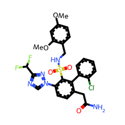 COc1ccc(CNS(=O)(=O)c2c(-n3cnc(C(F)F)n3)ccc(CC(N)=O)c2-c2ccccc2Cl)c(OC)c1